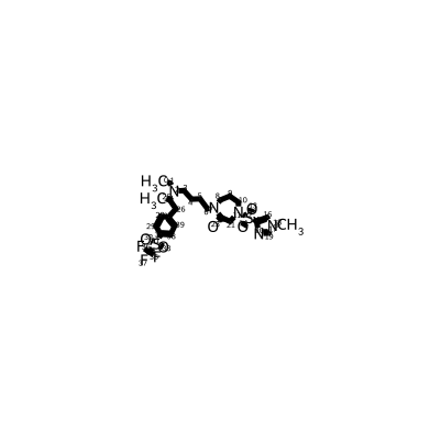 CCN(CCCCN1CCCN(S(=O)(=O)c2cn(C)cn2)CC1=O)C(C)Cc1ccc(S(=O)(=O)C(F)(F)F)cc1